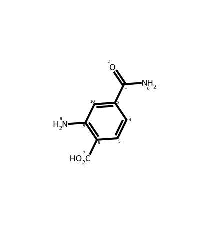 NC(=O)c1ccc(C(=O)O)c(N)c1